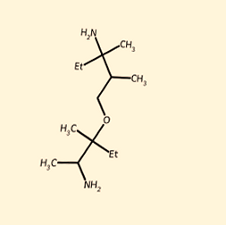 CCC(C)(N)C(C)COC(C)(CC)C(C)N